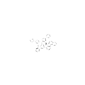 CC1(C)c2ccccc2-c2cc3c4c(c21)N(c1ccc(-c2ccccc2)cc1)c1ccc(-c2ccccc2)cc1B4n1c2ccc4ccccc4c2c2cccc-3c21